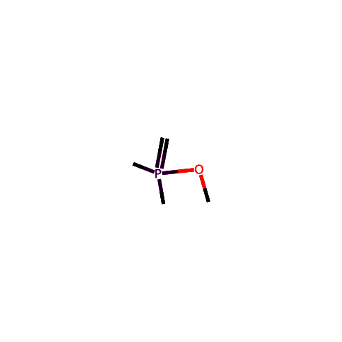 C=P(C)(C)OC